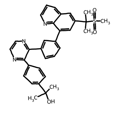 CC(C)(O)c1ccc(-c2nccnc2-c2cccc(-c3cc(C(C)(C)S(C)(=O)=O)cc4cccnc34)c2)cc1